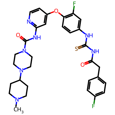 CN1CCC(N2CCN(C(=O)Nc3cc(Oc4ccc(NC(=S)NC(=O)Cc5ccc(F)cc5)cc4F)ccn3)CC2)CC1